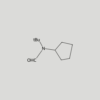 CC(C)(C)N(C=O)C1CCCC1